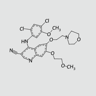 COCCOc1cc2ncc(C#N)c(Nc3cc(OC)c(Cl)cc3Cl)c2cc1OCCN1CCOCC1